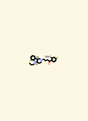 CSc1cc(F)ccc1C(=O)CCCN1CC[C@@H]2[C@H](C1)c1cccc3c1N2CCCS3